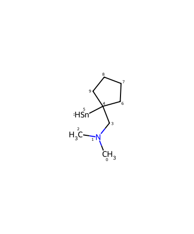 CN(C)C[C]1([SnH])CCCC1